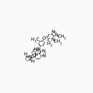 C=CC(=O)N1[C@@H]2CC[C@H]1[C@H](c1ccc3ncnc(Nc4ccc(O/C(C)=C/c5ncn(C)c5N=C)c(C)c4)c3n1)C2